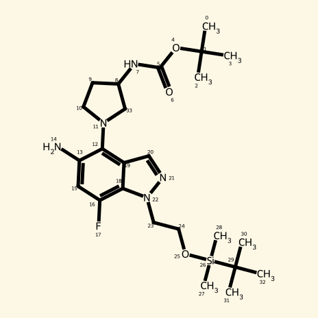 CC(C)(C)OC(=O)NC1CCN(c2c(N)cc(F)c3c2cnn3CCO[Si](C)(C)C(C)(C)C)C1